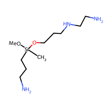 CO[Si](C)(CCCN)OCCCNCCN